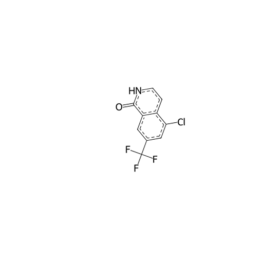 O=c1[nH]ccc2c(Cl)cc(C(F)(F)F)cc12